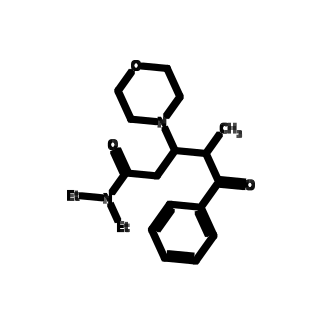 CCN(CC)C(=O)CC(C(C)C(=O)c1ccccc1)N1CCOCC1